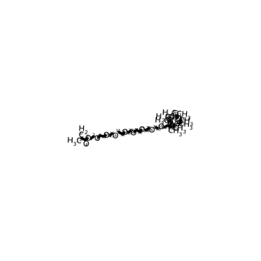 C=C(C)C(=O)OCCOCCOCCOCCOCCOCCOCCOCCOCCC(C)[Si]1(C)O[Si](C)(C)O[Si](C)(C)O[Si](C)(C)O1